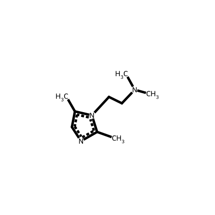 Cc1cnc(C)n1CCN(C)C